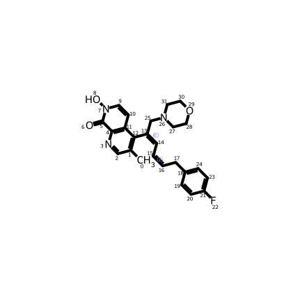 Cc1cnc2c(=O)n(O)ccc2c1/C(=C\C=C/Cc1ccc(F)cc1)CN1CCOCC1